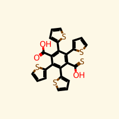 O=C(O)c1c(-c2cccs2)c(-c2cccs2)c(C(O)=S)c(-c2cccs2)c1-c1cccs1